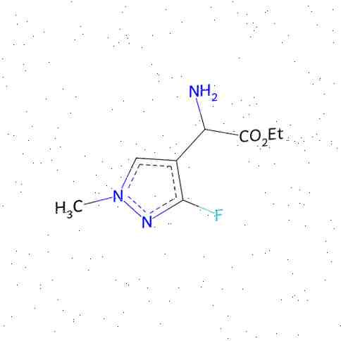 CCOC(=O)C(N)c1cn(C)nc1F